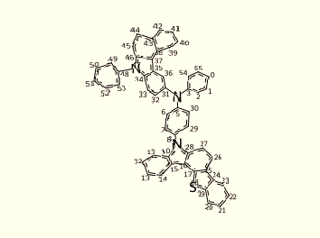 c1ccc(N(c2ccc(-n3c4ccccc4c4c5sc6ccccc6c5ccc43)cc2)c2ccc3c(c2)c2c4ccccc4ccc2n3-c2ccccc2)cc1